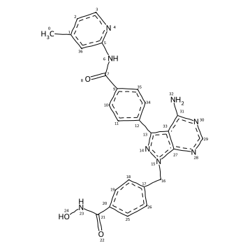 Cc1ccnc(NC(=O)c2ccc(-c3nn(Cc4ccc(C(=O)NO)cc4)c4ncnc(N)c34)cc2)c1